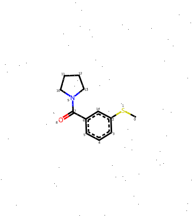 CSc1cccc(C(=O)N2CCCC2)c1